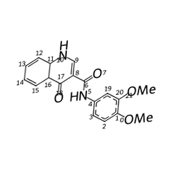 COc1ccc(NC(=O)C2=CNC3C=CC=CC3C2=O)cc1OC